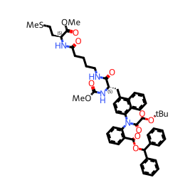 COC(=O)N[C@@H](Cc1ccc(N(C(=O)C(=O)OC(C)(C)C)c2ccccc2C(=O)OC(c2ccccc2)c2ccccc2)c2ccccc12)C(=O)NCCCCC(=O)N[C@@H](CCSC)C(=O)OC